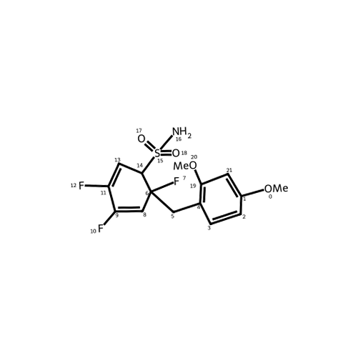 COc1ccc(CC2(F)C=C(F)C(F)=CC2S(N)(=O)=O)c(OC)c1